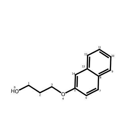 OCCCOc1ccc2ccccc2c1